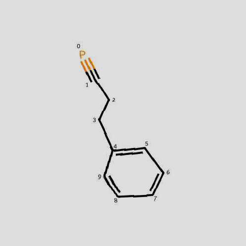 P#CCCc1ccccc1